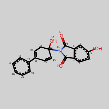 O=C1c2ccc(O)cc2C(=O)N1C1(O)C=CC(c2ccccc2)=CC1